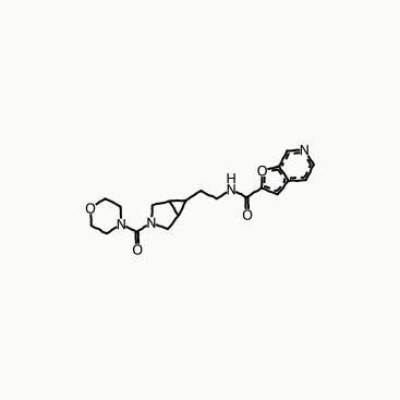 O=C(NCCC1C2CN(C(=O)N3CCOCC3)CC12)c1cc2ccncc2o1